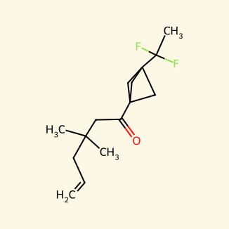 C=CCC(C)(C)CC(=O)C12CC(C(C)(F)F)(C1)C2